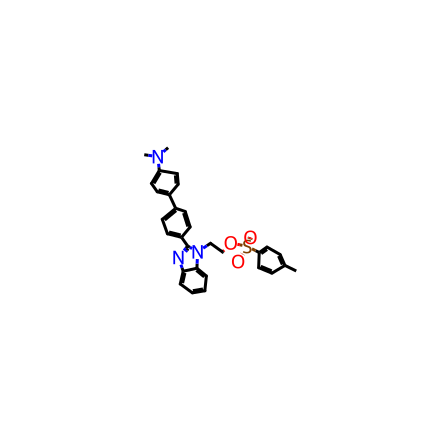 Cc1ccc(S(=O)(=O)OCCn2c(-c3ccc(-c4ccc(N(C)C)cc4)cc3)nc3ccccc32)cc1